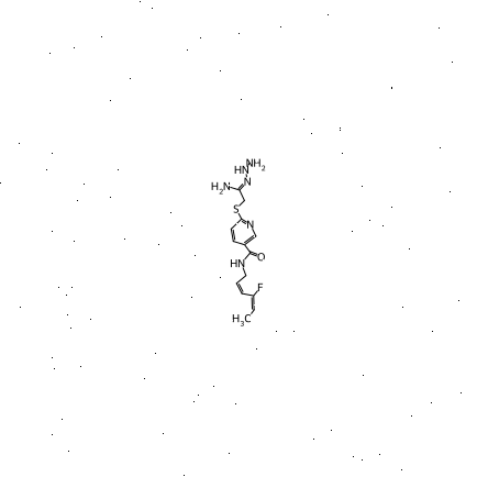 C/C=C(F)\C=C/CNC(=O)c1ccc(SC/C(N)=N/NN)nc1